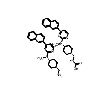 CN(c1nccc(-c2ccc3ccccc3c2)n1)[C@H]1CC[C@@H](CNC(=O)O)CC1.CN(c1nccc(-c2ccc3ccccc3c2)n1)[C@H]1CC[C@H](CN)CC1